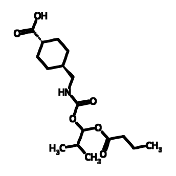 CCCC(=O)OC(OC(=O)NC[C@H]1CC[C@H](C(=O)O)CC1)C(C)C